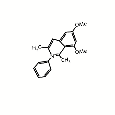 COc1cc(OC)c2c(C)[n+](-c3ccccc3)c(C)cc2c1